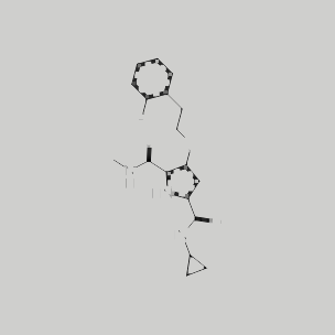 CNC(=O)c1[nH]c(C(=O)NC2CC2)cc1OCCc1ccccc1F